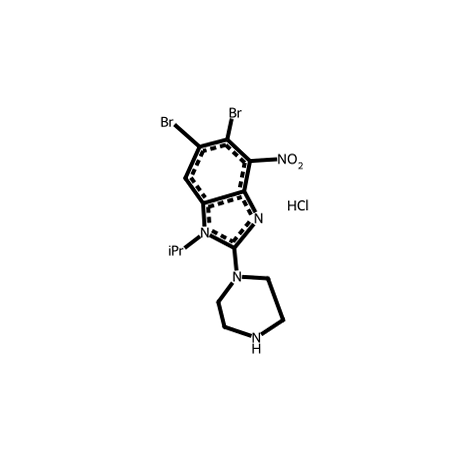 CC(C)n1c(N2CCNCC2)nc2c([N+](=O)[O-])c(Br)c(Br)cc21.Cl